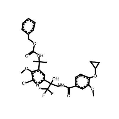 COc1cc(C(=O)NCC(O)(c2cc(C(C)(C)NC(=O)OCc3ccccc3)c(OC)c(Cl)n2)C(F)(F)F)ccc1OC1CC1